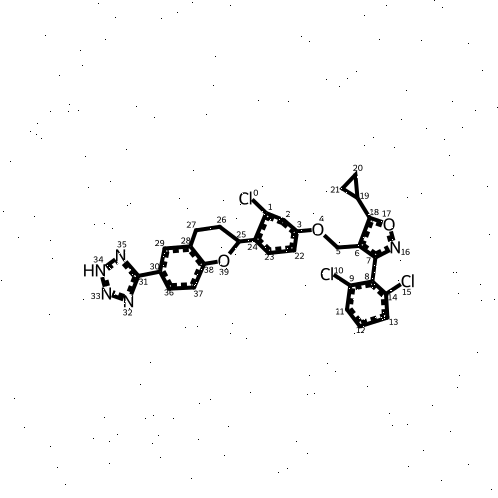 Clc1cc(OCc2c(-c3c(Cl)cccc3Cl)noc2C2CC2)ccc1C1CCc2cc(-c3nn[nH]n3)ccc2O1